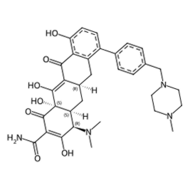 CN1CCN(Cc2ccc(-c3ccc(O)c4c3C[C@H]3C[C@H]5[C@@H](N(C)C)C(O)=C(C(N)=O)C(=O)[C@@]5(O)C(O)=C3C4=O)cc2)CC1